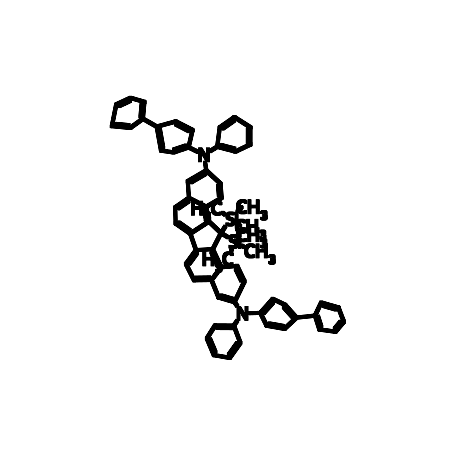 C[Si](C)(C)C1([Si](C)(C)C)c2c(ccc3cc(N(c4ccccc4)c4ccc(-c5ccccc5)cc4)ccc23)-c2ccc3cc(N(c4ccccc4)c4ccc(-c5ccccc5)cc4)ccc3c21